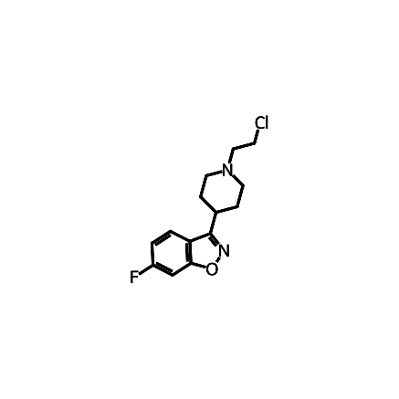 Fc1ccc2c(C3CCN(CCCl)CC3)noc2c1